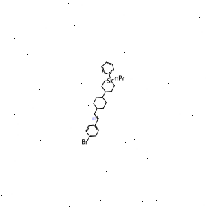 CCC[Si]1(c2ccccc2)CCC(C2CCC(/C=C/c3ccc(Br)cc3)CC2)CC1